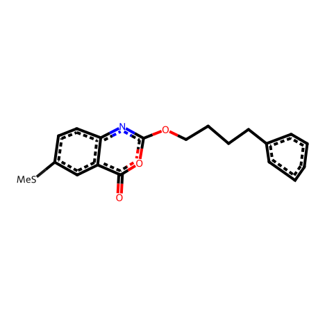 CSc1ccc2nc(OCCCCc3ccccc3)oc(=O)c2c1